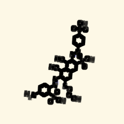 Nc1ccc(/N=N/c2c(SOOO)cc3cc(S(=O)(=O)O)c(/N=N/c4ccc(S(=O)(=O)O)cc4)c(O)c3c2O)c(S(=O)(=O)O)c1